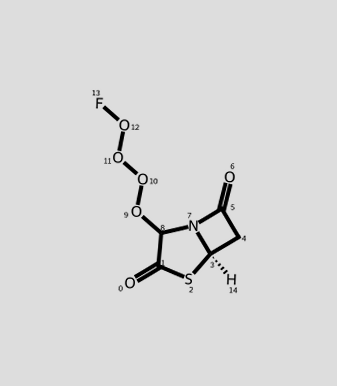 O=C1S[C@@H]2CC(=O)N2C1OOOOF